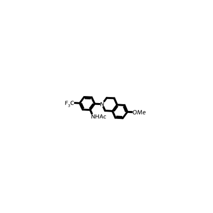 COc1ccc2c(c1)CCN(c1ccc(C(F)(F)F)cc1NC(C)=O)C2